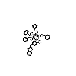 Clc1ccc(Cc2cc3ccccc3s2)cc1[C@@H]1O[C@H](COCc2ccccc2)[C@@H](OCc2ccccc2)[C@H](OCc2ccccc2)[C@H]1OCc1ccccc1